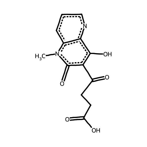 Cn1c(=O)c(C(=O)CCC(=O)O)c(O)c2ncccc21